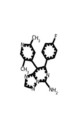 Cc1cc(-c2c(-c3ccc(F)cc3)nc(N)n3ncnc23)c(C)cn1